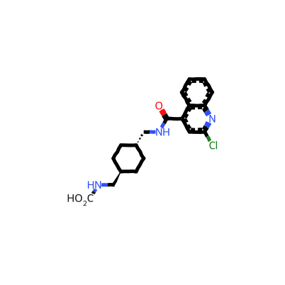 O=C(O)NC[C@H]1CC[C@H](CNC(=O)c2cc(Cl)nc3ccccc23)CC1